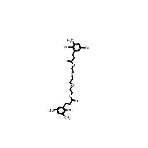 Cc1cc(C(C)(C)C)cc(CCC(=O)OCCOCCOCCOC(=O)CCc2cc(C(C)(C)C)cc(C)c2O)c1O